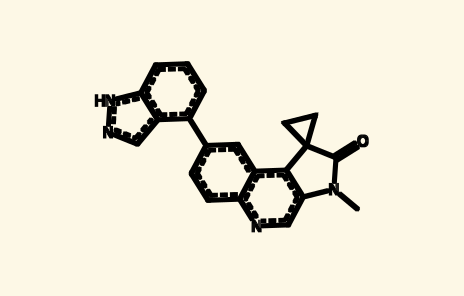 CN1C(=O)C2(CC2)c2c1cnc1ccc(-c3cccc4[nH]ncc34)cc21